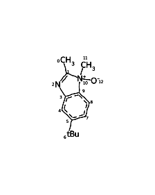 CC1=Nc2cc(C(C)(C)C)ccc2[N+]1(C)[O-]